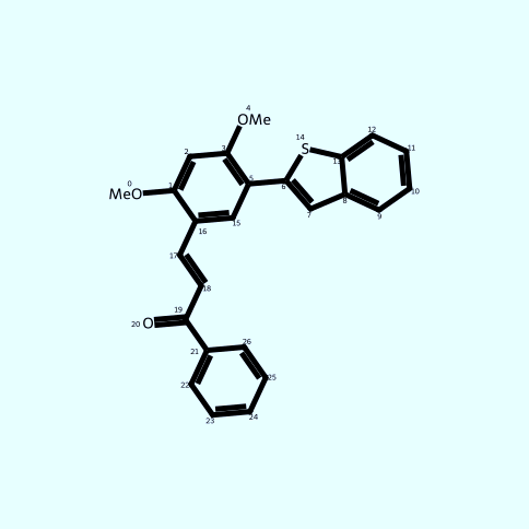 COc1cc(OC)c(-c2cc3ccccc3s2)cc1C=CC(=O)c1ccccc1